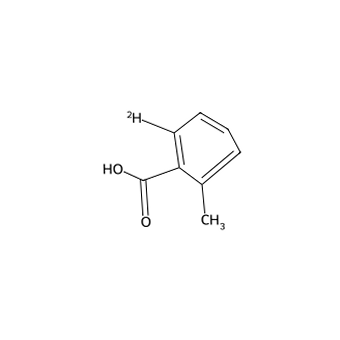 [2H]c1cccc(C)c1C(=O)O